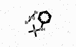 C[Si](C)(C)Nc1cc[c]cc1.[Br][Mg][Br]